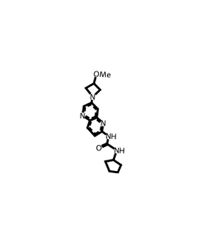 COC1CN(c2cnc3ccc(NC(=O)NC4CCCC4)nc3c2)C1